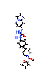 O=C(NCc1ccn2ccnc2c1)Nc1ccc(C2CCN(C(=O)[C@@H]3CCCO3)CC2)cc1